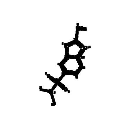 CSc1nc2cc(S(=O)(=O)N(C)C)ccc2o1